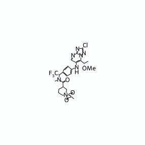 CO[C@@H](C)c1c(Nc2ccc([C@H](N(C)C(=O)C3CCCN(S(C)(=O)=O)C3)C(F)(F)F)cc2)cnc2nc(Cl)nn12